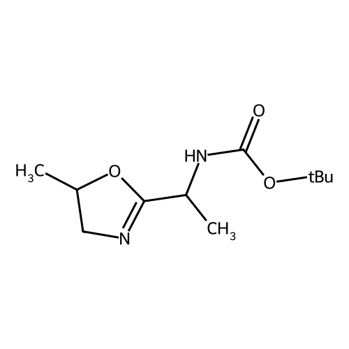 CC1CN=C(C(C)NC(=O)OC(C)(C)C)O1